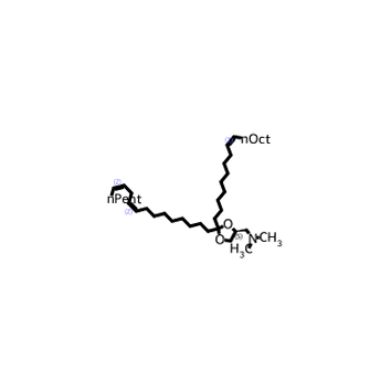 CCCCC/C=C\C/C=C\CCCCCCCCC1(CCCCCCCC/C=C\CCCCCCCC)OC[C@H](CN(C)C)O1